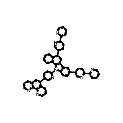 c1ccc(-c2ccc(-c3ccc4c(c3)c3cc(-c5ccc(-c6ccccn6)nc5)c5ccccc5c3n4-c3ccc(-c4cc5cccnc5c5ncccc45)cn3)cn2)nc1